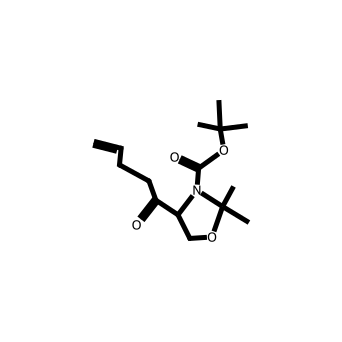 C=CCCC(=O)C1COC(C)(C)N1C(=O)OC(C)(C)C